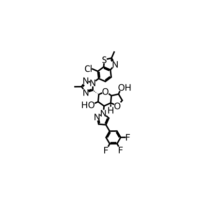 Cc1nc([C@@H]2OC3C(O)CO[C@@H]3C(n3cc(-c4cc(F)c(F)c(F)c4)cn3)C2O)n(-c2ccc3nc(C)sc3c2Cl)n1